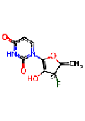 C=C1OC(n2ccc(=O)[nH]c2=O)=C(O)[C@@H]1F